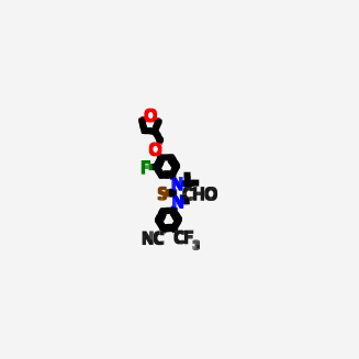 CN(C(=S)N(c1ccc(OCC2CCOC2)c(F)c1)C(C)(C)C=O)c1ccc(C#N)c(C(F)(F)F)c1